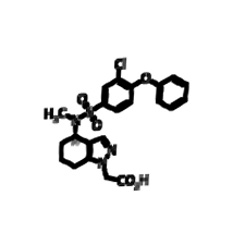 CN([C@@H]1CCCc2c1cnn2CC(=O)O)S(=O)(=O)c1ccc(Oc2ccccc2)c(Cl)c1